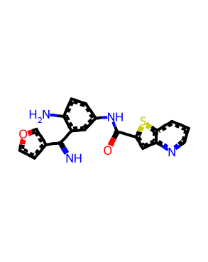 N=C(c1ccoc1)c1cc(NC(=O)c2cc3ncccc3s2)ccc1N